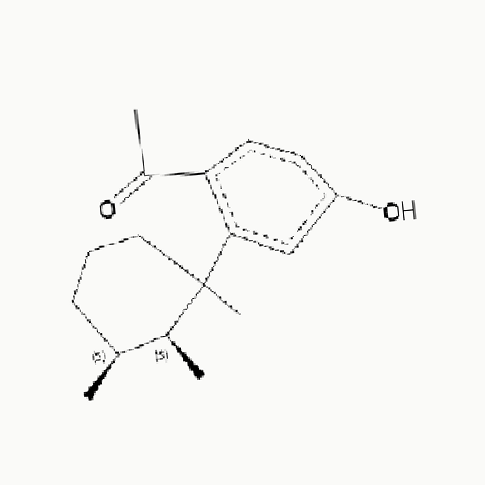 CC(=O)c1ccc(O)cc1C1(C)CCC[C@H](C)[C@@H]1C